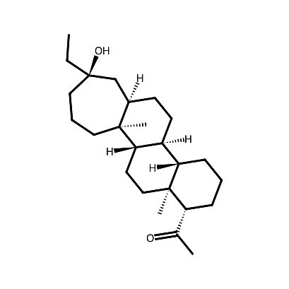 CC[C@@]1(O)CCC[C@@]2(C)[C@H](CC[C@@H]3[C@@H]2CC[C@]2(C)[C@@H](C(C)=O)CCC[C@@H]32)C1